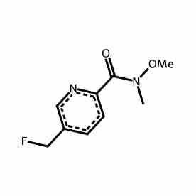 CON(C)C(=O)c1ccc(CF)cn1